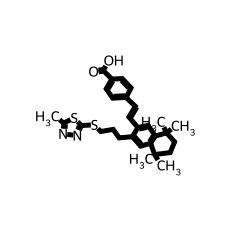 Cc1nnc(SCCCc2cc3c(cc2/C=C/c2ccc(C(=O)O)cc2)C(C)(C)CCC3(C)C)s1